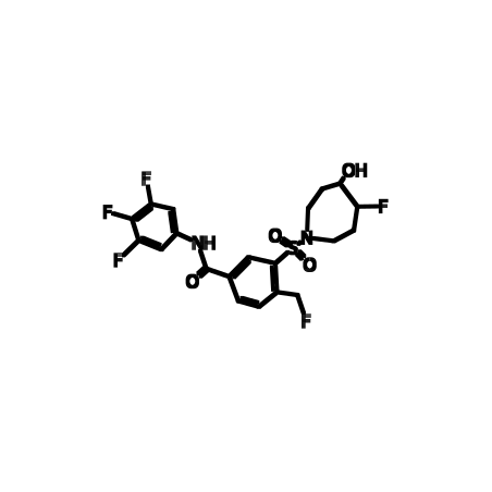 O=C(Nc1cc(F)c(F)c(F)c1)c1ccc(CF)c(S(=O)(=O)N2CCC(O)C(F)CC2)c1